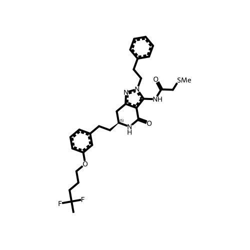 CSCC(=O)Nc1c2c(nn1CCc1ccccc1)C[C@H](CCc1cccc(OCCCC(C)(F)F)c1)NC2=O